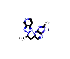 CC(Cc1cnc2[nH]c(C(C)(C)C)nc2n1)n1nc2ccncc2n1